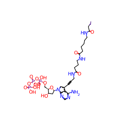 Nc1ncnc2c1c(C#CCNC(=O)CCCNC(=O)CCCCCNC(=O)CI)cn2[C@H]1CC(O)[C@@H](COP(=O)(O)OP(=O)(O)OP(=O)(O)O)O1